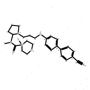 CN(C(=O)[N+]1(F)CCOCC1)C1CCCN1CCCOc1ccc(-c2ccc(C#N)cc2)cc1